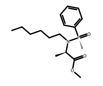 CCCCCCN([C@H](C)C(=O)OC)[P@](C)(=O)c1ccccc1